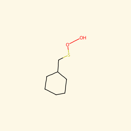 OOSCC1CCCCC1